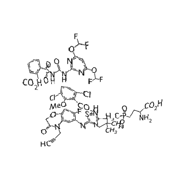 C#CCN1C(=O)COc2cc(F)c(/N=c3\snc4n3CC(C)(C)C4)cc21.COc1c(Cl)ccc(Cl)c1C(=O)O.CP(=O)(O)CCC(N)C(=O)O.O=C(Nc1nc(OC(F)F)cc(OC(F)F)n1)NS(=O)(=O)c1ccccc1C(=O)O